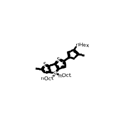 CCCCCCCC[Si]1(CCCCCCCC)c2cc(C)sc2-c2sc(C3=CC(CCCCCC)=C(C)C3)cc21